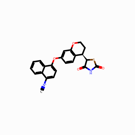 [C-]#[N+]c1ccc(Oc2ccc3c(c2)OCC[C@H]3C2SC(=O)NC2=O)c2ccccc12